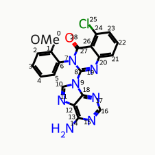 COc1ccccc1-n1c(-n2cnc3c(N)ncnc32)nc2cccc(Cl)c2c1=O